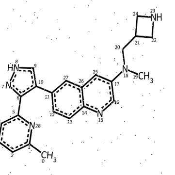 Cc1cccc(-c2n[nH]cc2-c2ccc3ncc(N(C)CC4CNC4)cc3c2)n1